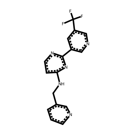 FC(F)(F)c1cncc(-c2nccc(NCc3cccnc3)n2)c1